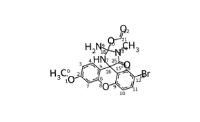 COc1ccc2c(c1)Oc1ccc(Br)cc1C21NC(N)(OC=O)N(C)C1=O